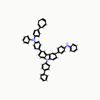 C1#CCC=C(c2ccc(N(c3ccccc3)c3ccc(-c4ccc5c(c4)c4cc(-c6ccc(Nc7ccccc7)cc6)ccc4n5-c4ccc(-c5ccccc5)cc4)cc3)cc2)C=C1